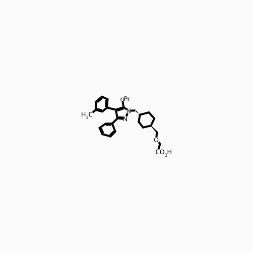 CCCc1c(-c2cccc(C)c2)c(-c2ccccc2)nn1C[C@H]1CC[C@H](COCC(=O)O)CC1